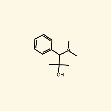 CN(C)C(c1ccccc1)C(C)(C)O